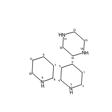 C1CCNCC1.C1CCNCC1.C1CNCCN1